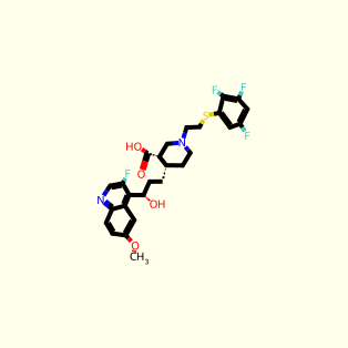 COc1ccc2ncc(F)c([C@@H](O)CC[C@H]3CCN(CCSc4cc(F)cc(F)c4F)C[C@H]3C(=O)O)c2c1